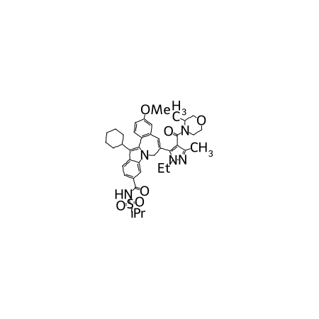 CCn1nc(C)c(C(=O)N2CCOCC2C)c1C1=Cc2cc(OC)ccc2-c2c(C3CCCCC3)c3ccc(C(=O)NS(=O)(=O)C(C)C)cc3n2C1